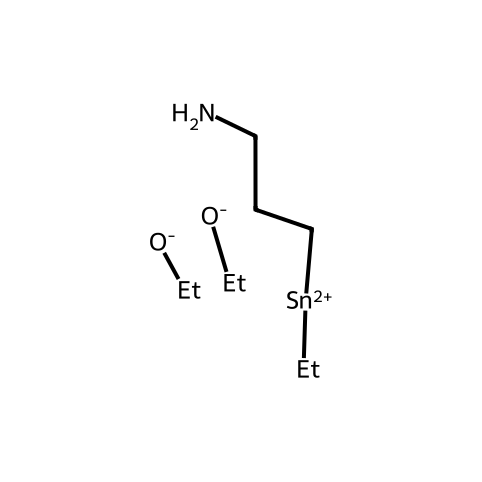 CC[O-].CC[O-].C[CH2][Sn+2][CH2]CCN